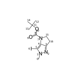 Cn1nc2c(c1I)N(C(=O)OC(C)(C)C)CC2